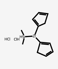 C[SiH](C)[Zr]([C]1=CC=CC1)[C]1=CC=CC1.Cl.Cl